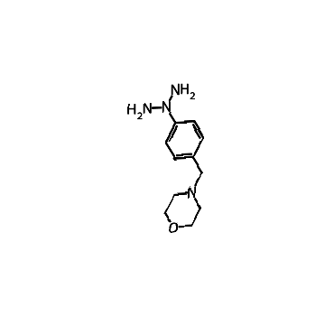 NN(N)c1ccc(CN2CCOCC2)cc1